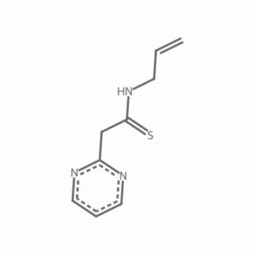 C=CCNC(=S)Cc1ncccn1